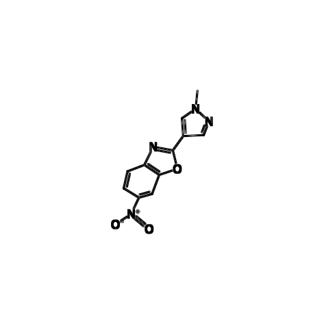 Cn1cc(-c2nc3ccc([N+](=O)[O-])cc3o2)cn1